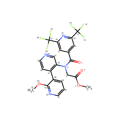 COC(=O)CN(C(=O)c1cc(C(F)(F)F)nc(C(F)(F)F)c1)c1cnccc1-c1cccnc1OC